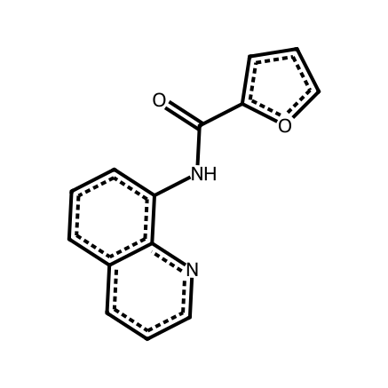 O=C(Nc1cccc2cccnc12)c1ccco1